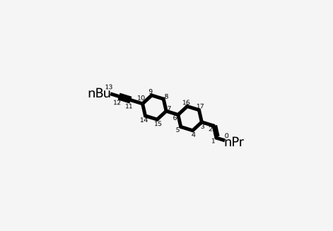 CCC/C=C/C1CCC(C2CCC(C#CCCCC)CC2)CC1